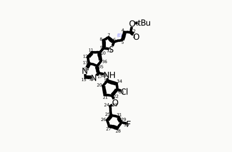 CC(C)(C)OC(=O)/C=C/c1ccc(-c2ccc3ncnc(Nc4ccc(OCc5cccc(F)c5)c(Cl)c4)c3c2)s1